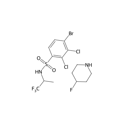 CC(NS(=O)(=O)c1ccc(Br)c(Cl)c1Cl)C(F)(F)F.FC1CCNCC1